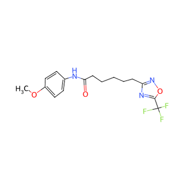 COc1ccc(NC(=O)CCCCCc2noc(C(F)(F)F)n2)cc1